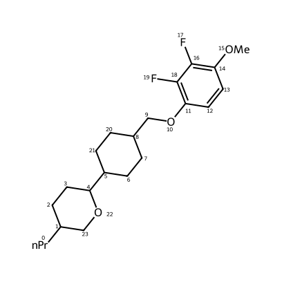 CCCC1CCC(C2CCC(COc3ccc(OC)c(F)c3F)CC2)OC1